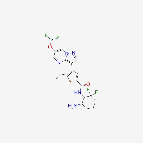 CCc1sc(C(=O)NC2C(N)CCCC2(F)F)cc1-c1cnn2cc(OC(F)F)cnc12